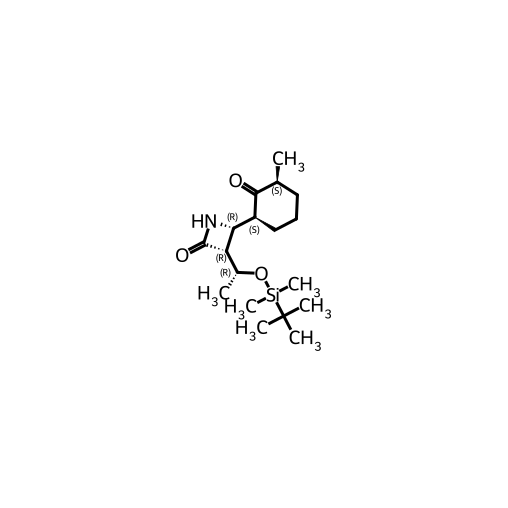 C[C@H]1CCC[C@@H]([C@H]2NC(=O)[C@H]2[C@@H](C)O[Si](C)(C)C(C)(C)C)C1=O